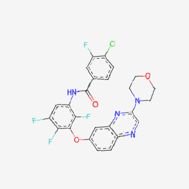 O=C(Nc1cc(F)c(F)c(Oc2ccc3ncc(N4CCOCC4)nc3c2)c1F)c1ccc(Cl)c(F)c1